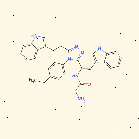 CCc1ccc(-n2c(CCc3c[nH]c4ccccc34)nnc2[C@@H](Cc2c[nH]c3ccccc23)NC(=O)CN)cc1